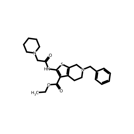 CCOC(=O)c1c(NC(=O)CN2CCCCC2)sc2c1CCN(Cc1ccccc1)C2